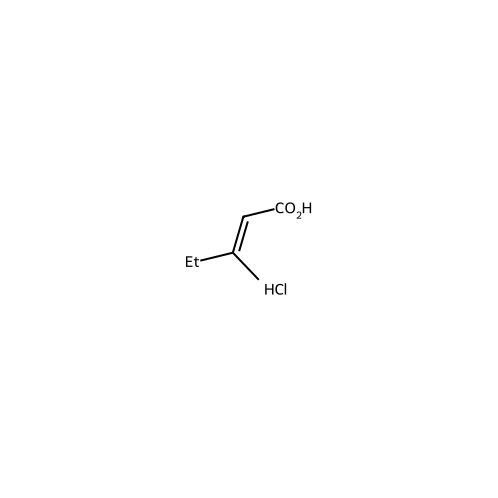 CCC(C)=CC(=O)O.Cl